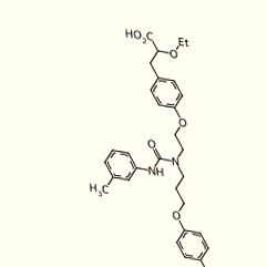 CCOC(Cc1ccc(OCCN(CCCOc2ccc(F)cc2)C(=O)Nc2cccc(C)c2)cc1)C(=O)O